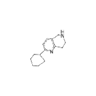 c1cc2c(nc1C1CCCCC1)CCNC2